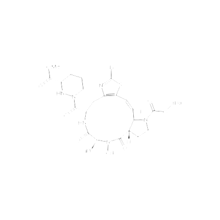 COC(=O)[C@@H]1CCCN(C(=O)[C@@H]2Cc3nc(Br)sc3C=C[C@@H]3[C@H](CCN3C(=O)OC(C)(C)C)C(=O)N(C)[C@@H](C(C)C)C(=O)N2)N1